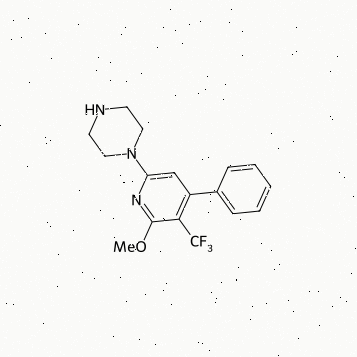 COc1nc(N2CCNCC2)cc(-c2ccccc2)c1C(F)(F)F